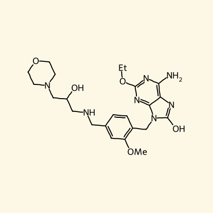 CCOc1nc(N)c2nc(O)n(Cc3ccc(CNCC(O)CN4CCOCC4)cc3OC)c2n1